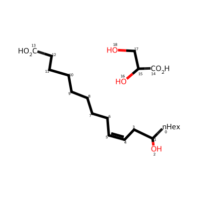 CCCCCCC(O)C/C=C\CCCCCCCC(=O)O.O=C(O)C(O)CO